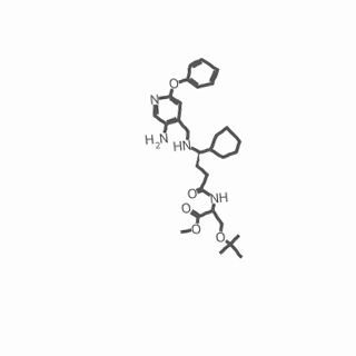 COC(=O)C(COC(C)(C)C)NC(=O)CC[C@@H](NCc1cc(Oc2ccccc2)ncc1N)C1CCCCC1